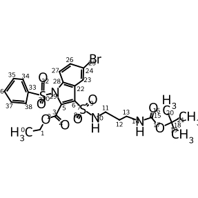 CCOC(=O)c1c(S(=O)(=O)NCCCNC(=O)OC(C)(C)C)c2cc(Br)ccc2n1S(=O)(=O)c1ccccc1